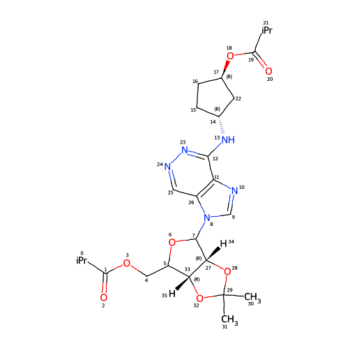 CC(C)C(=O)OCC1OC(n2cnc3c(N[C@@H]4CC[C@@H](OC(=O)C(C)C)C4)nncc32)[C@@H]2OC(C)(C)O[C@H]12